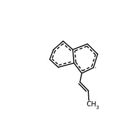 CC=Cc1[c]ccc2ccccc12